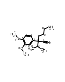 COc1ccc(C(C#N)(CCCN)C(C)C)cc1OC